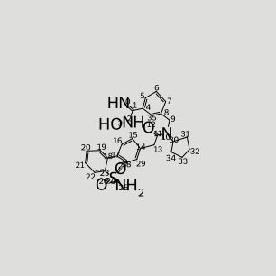 N=C(NO)c1cccc(CN(C(=O)Cc2ccc(-c3ccccc3S(N)(=O)=O)cc2)C2CCCC2)c1